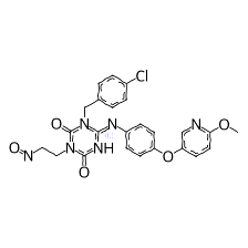 COc1ccc(Oc2ccc(/N=c3\[nH]c(=O)n(CCN=O)c(=O)n3Cc3ccc(Cl)cc3)cc2)cn1